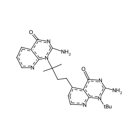 CC(C)(C)n1c(N)nc(=O)c2c(CCC(C)(C)n3c(N)nc(=O)c4cccnc43)ccnc21